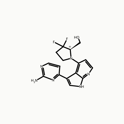 Nc1nccc(-c2c[nH]c3nccc(N4CCC(F)(F)[C@H]4CO)c23)n1